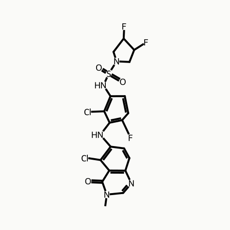 Cn1cnc2ccc(Nc3c(F)ccc(NS(=O)(=O)N4CC(F)C(F)C4)c3Cl)c(Cl)c2c1=O